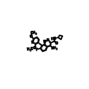 COc1ccc(-c2c(F)ccc3c(N)c(C(=O)NC4CCC4)nnc23)c(OC)n1